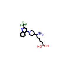 NC(CCCCB(O)O)C1CCN(c2cc(C(F)(F)F)nc3ccccc23)CC1